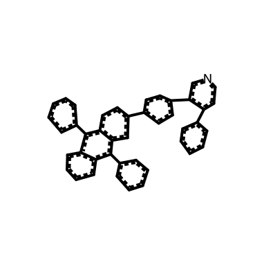 c1ccc(-c2ccncc2-c2ccc(-c3ccc4c(-c5ccccc5)c5ccccc5c(-c5ccccc5)c4c3)cc2)cc1